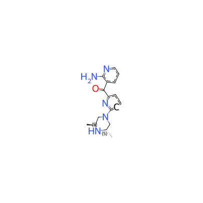 C[C@H]1CN(c2cccc(C(=O)c3cccnc3N)n2)C[C@H](C)N1